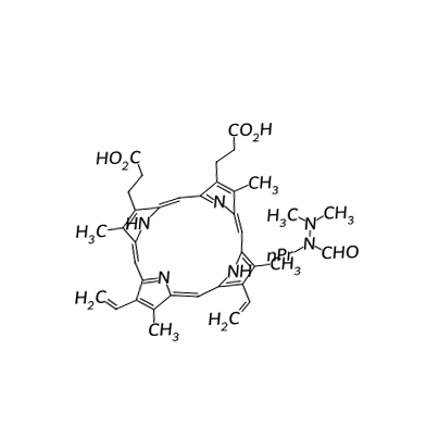 C=CC1=C(C)c2cc3[nH]c(cc4nc(cc5[nH]c(cc1n2)c(C)c5CCC(=O)O)C(CCC(=O)O)=C4C)c(C)c3C=C.CCCN(C=O)N(C)C